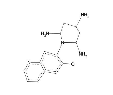 NC1CC(N)N(c2cc3ncccc3cc2[O])C(N)C1